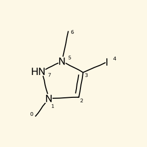 CN1C=C(I)N(C)N1